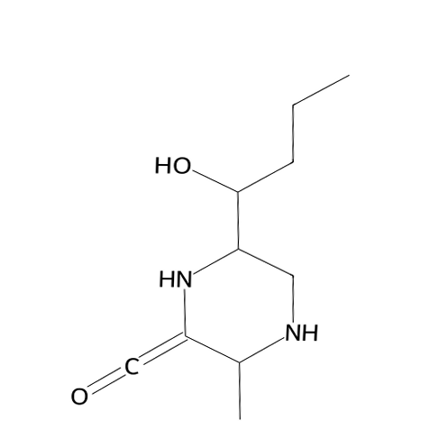 CCCC(O)C1CNC(C)C(=C=O)N1